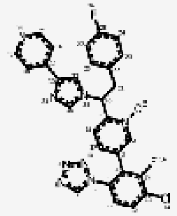 [O-][n+]1cc(-c2c(-n3cnnn3)ccc(Cl)c2F)ccc1C(Cc1ccc(F)cc1)n1cnc(-c2ccncc2)c1